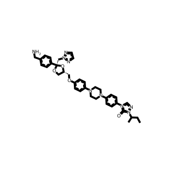 CCC(C)n1ncn(-c2ccc(N3CCN(c4ccc(OC[C@@H]5CO[C@@](Cn6nccn6)(c6ccc(CN)cc6)O5)cc4)CC3)cc2)c1=O